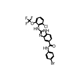 O=C(Nc1ccc(Br)cc1)c1ccc2[nH]c(Nc3c(Cl)cccc3OC(F)(F)F)nc2c1